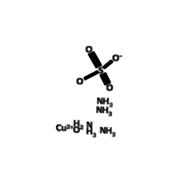 N.N.N.N.O.O=S(=O)([O-])[O-].[Cu+2]